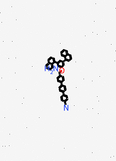 N#Cc1ccc(-c2ccc(-c3ccc(COc4cc(-c5cccc6ccccc56)cc(-c5cccc6ccccc56)c4N)cc3)cc2)cc1